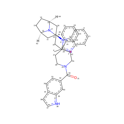 Cc1nc2ccccc2n1[C@H]1C[C@H]2CC[C@@H](C1)N2CCC1(c2ccccc2)CCN(C(=O)c2ccc3cc[nH]c3c2)CC1